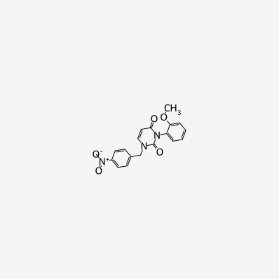 COc1ccccc1-n1c(=O)ccn(Cc2ccc([N+](=O)[O-])cc2)c1=O